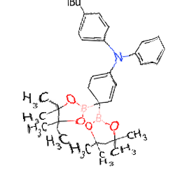 CCC(C)c1ccc(N(C2=CCC(B3OC(C)(C)C(C)(C)O3)(B3OC(C)(C)C(C)(C)O3)C=C2)c2ccccc2)cc1